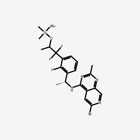 Cc1nc(N[C@H](C)c2cccc(C(F)(F)C(C)O[Si](C)(C)C(C)(C)C)c2F)c2cc(Br)ncc2n1